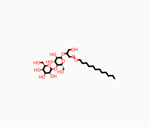 CCCCCCCCCCCCOOCC(CO)O[C@@H]1O[C@H](CO)[C@@H](O[C@@H]2O[C@H](CO)[C@H](O)[C@H](O)[C@H]2O)[C@H](O)[C@H]1O